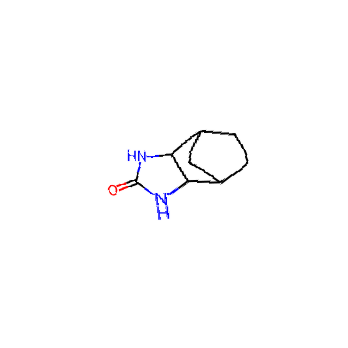 O=C1NC2C3CCC(C3)C2N1